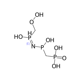 O=P(O)(O)CP(O)/N=[PH](/O)COO